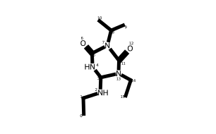 CCNC1NC(=O)N(C(C)C)C(=O)N1CC